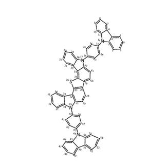 c1ccc2c(c1)c1ccccc1n2-c1ccc(-n2c3ccccc3c3c4sc5c(ccc6c5c5ccccc5n6-c5ccc(-n6c7ccccc7c7ccccc76)cc5)c4ccc32)cc1